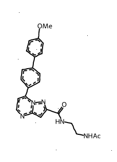 COc1ccc(-c2ccc(-c3ccnc4cc(C(=O)NCCNC(C)=O)nn34)cc2)cc1